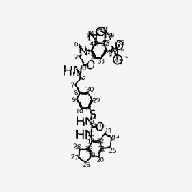 CN(CC(=O)NCCc1ccc(SNC(=O)Nc2c3c(cc4c2CCC4)CCC3)cc1)c1ccc([N+](=O)[O-])c2nonc12